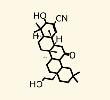 CC1(C)CC[C@]2(CCO)CC[C@]3(C)C(C(=O)C[C@@H]4[C@@]5(C)C=C(C#N)C(O)C(C)(C)[C@@H]5CC[C@]43C)C2C1